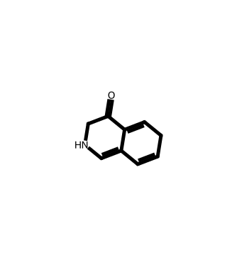 O=C1CNC=C2C=CCC=C12